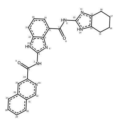 O=C(Nc1nc2c(C(=O)Nc3nc4c([nH]3)CCCC4)cccc2[nH]1)c1cc2ccccc2cn1